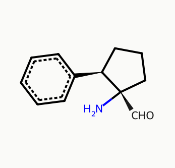 N[C@@]1(C=O)CCC[C@@H]1c1ccccc1